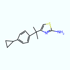 CC(C)(c1ccc(C2CC2)cc1)c1csc(N)n1